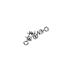 Cc1nn(C(C)C(=O)N2CCN(c3ccccc3)CC2)c(=O)c2nn(-c3ccccc3)c(C)c12